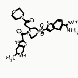 CC1Cc2nc(C(=O)N3CCN(S(=O)(=O)c4cc5cc(C(=N)N)ccc5s4)CC3CC(=O)N3CCOCC3)sc2CN1